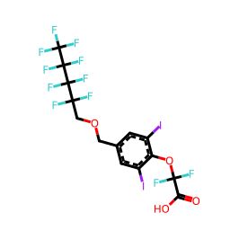 O=C(O)C(F)(F)Oc1c(I)cc(COCC(F)(F)C(F)(F)C(F)(F)C(F)(F)F)cc1I